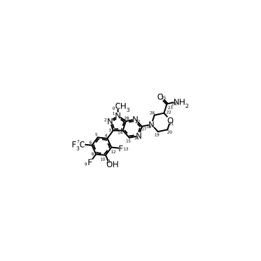 Cn1nc(-c2cc(C(F)(F)F)c(F)c(O)c2F)c2cnc(N3CCOC(C(N)=O)C3)nc21